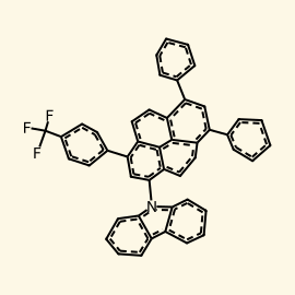 FC(F)(F)c1ccc(-c2cc(-n3c4ccccc4c4ccccc43)c3ccc4c(-c5ccccc5)cc(-c5ccccc5)c5ccc2c3c54)cc1